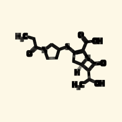 CCC(=O)N1CCC(SC2=C(C(=O)O)N3C(=O)C(C(C)O)[C@H]3C2)C1